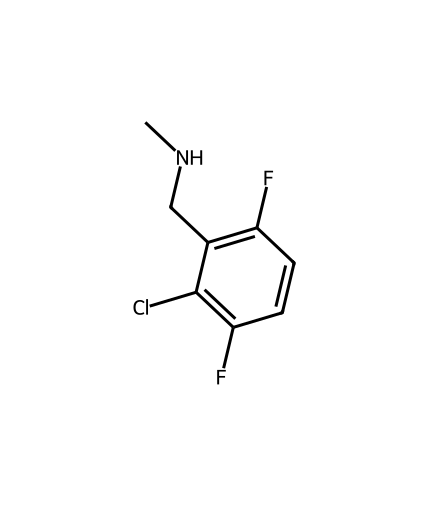 CNCc1c(F)ccc(F)c1Cl